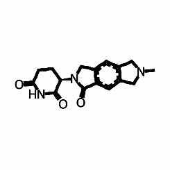 CN1Cc2cc3c(cc2C1)C(=O)N([C@@H]1CCC(=O)NC1=O)C3